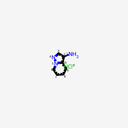 Cl.Nc1cnn2ccccc12